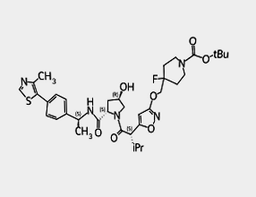 Cc1ncsc1-c1ccc([C@H](C)NC(=O)[C@@H]2C[C@@H](O)CN2C(=O)[C@H](c2cc(OCC3(F)CCN(C(=O)OC(C)(C)C)CC3)no2)C(C)C)cc1